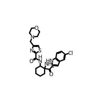 NC1(C(=O)c2cc3cc(Cl)ccc3[nH]2)CCCCC1NC(=O)c1nc(CN2CCOCC2)cs1